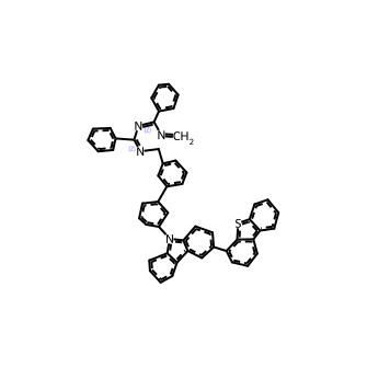 C=N/C(=N\C(=N/Cc1cccc(-c2cccc(-n3c4ccccc4c4cc(-c5cccc6c5sc5ccccc56)ccc43)c2)c1)c1ccccc1)c1ccccc1